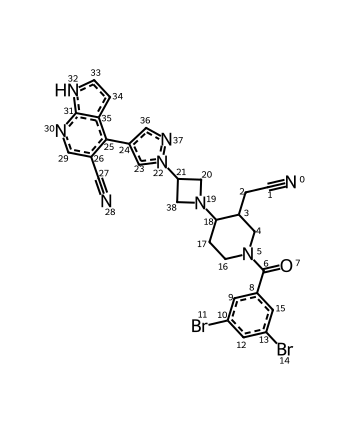 N#CCC1CN(C(=O)c2cc(Br)cc(Br)c2)CCC1N1CC(n2cc(-c3c(C#N)cnc4[nH]ccc34)cn2)C1